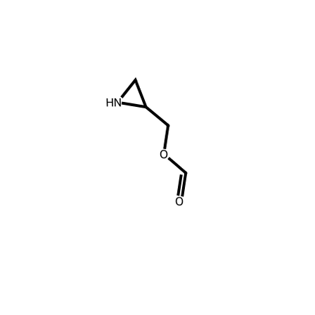 O=COCC1CN1